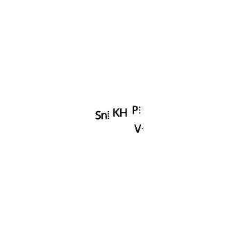 [KH].[P].[Sn].[V]